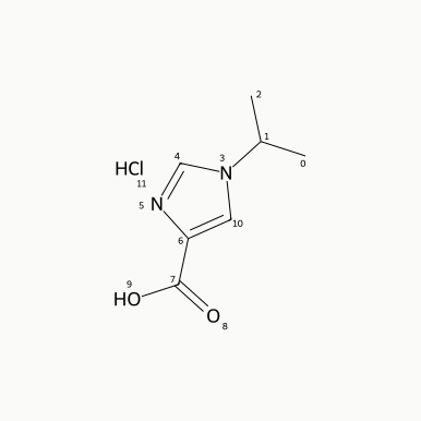 CC(C)n1cnc(C(=O)O)c1.Cl